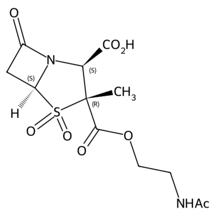 CC(=O)NCCOC(=O)[C@@]1(C)[C@H](C(=O)O)N2C(=O)C[C@@H]2S1(=O)=O